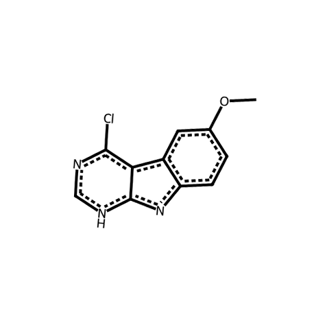 COc1ccc2nc3[nH]cnc(Cl)c-3c2c1